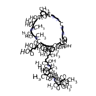 COC(=O)C(C)(C)C(O)C(C)C(=O)C(C)(C)/C=C/C(=O)NC(C(O)C(C)C)C(O)C(C)/C=C(\C)C(O)C(C)CCC(O)C(C)C(=O)NC1C(C)OC(=O)C(C(O)C(=O)O)NC(=O)/C=C/C=C/CC/C=C/C=C/C[C@@H]2C[C@@H](C)C[C@@H](CC(O)C(C)C(O)/C(C)=C/C(C)C(O)/C(C)=C/CC(OC(=O)CC(O)C(=O)O)C(C)C1O)O2